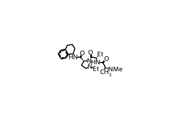 CC[C@H](NC(=O)[C@H](C)NC)C(=O)N1[C@H](C(=O)N[C@@H]2CCCc3ccccc32)CCN1CC